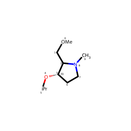 COCC1[C@@H](OC(C)C)CCN1C